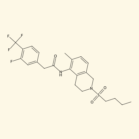 CCCCS(=O)(=O)N1CCc2c(ccc(C)c2NC(=O)Cc2ccc(C(F)(F)F)c(F)c2)C1